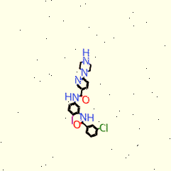 O=C(Nc1ccc(I)c(NC(=O)c2cccc(Cl)c2)c1)c1ccc(N2CCNCC2)nc1